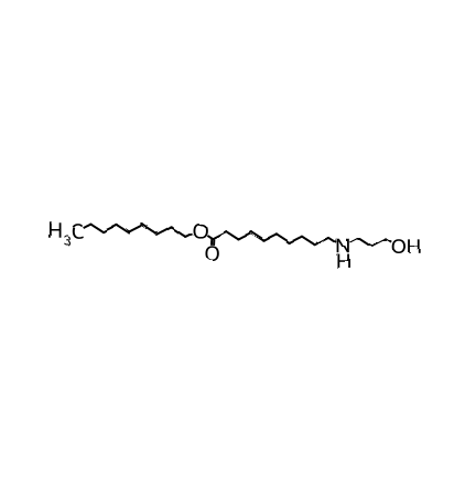 CCCCCCCCCOC(=O)CCCCCCCCCNCCCO